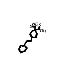 OC(=S)C1(C(O)=S)C=CC(C=Cc2ccccc2)=CC1